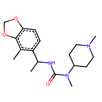 Cc1c(C(C)NC(=O)N(C)C2CCN(C)CC2)ccc2c1OCO2